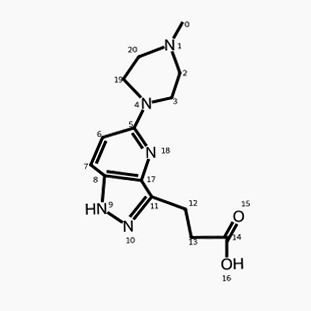 CN1CCN(c2ccc3[nH]nc(CCC(=O)O)c3n2)CC1